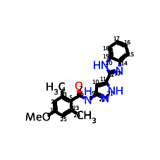 COc1cc(C)c(C(=O)Nc2cc(-c3nc4ccccc4[nH]3)[nH]n2)c(C)c1